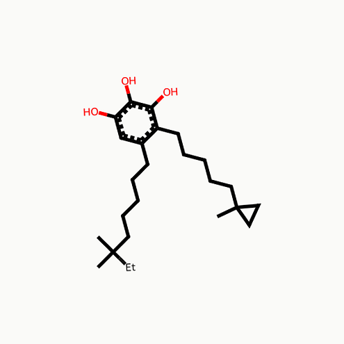 CCC(C)(C)CCCCCc1cc(O)c(O)c(O)c1CCCCCC1(C)CC1